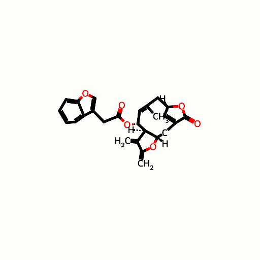 C=C1O[C@H]2CC3=C[C@@H](C/C(C)=C/[C@@H](OC(=O)Cc4coc5ccccc45)[C@@H]2C1=C)OC3=O